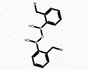 OB(OB(O)c1ccccc1CBr)c1ccccc1CBr